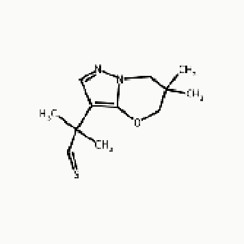 CC1(C)COc2c(C(C)(C)C=S)cnn2C1